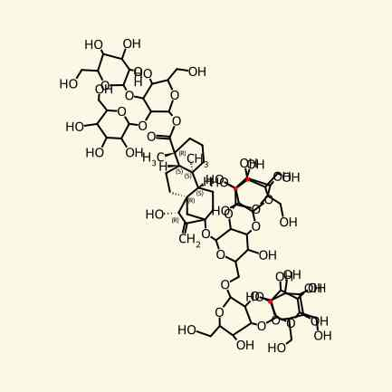 C=C1[C@H](O)[C@@]23CC[C@H]4[C@@](C)(CCC[C@@]4(C)C(=O)OC4OC(CO)C(O)C(OC5OC(CO)C(O)C(O)C5O)C4OC4OC(CO)C(O)C(O)C4O)[C@@H]2CCC1(OC1OC(COC2OC(CO)C(O)C(OC4OC(CO)C(O)C(O)C4O)C2OC2OC(CO)C(O)C(O)C2O)C(O)C(OC2OC(CO)C(O)C(O)C2O)C1OC1OC(CO)C(O)C(O)C1O)C3